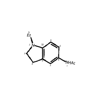 CCN1CCc2cc(NC(C)=O)ccc21